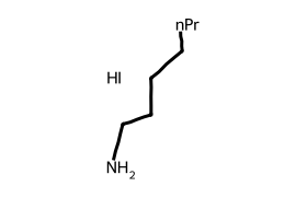 CCCCCCCN.I